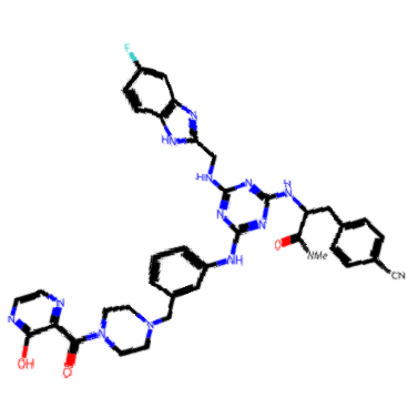 CNC(=O)C(Cc1ccc(C#N)cc1)Nc1nc(NCc2nc3cc(F)ccc3[nH]2)nc(Nc2cccc(CN3CCN(C(=O)c4nccnc4O)CC3)c2)n1